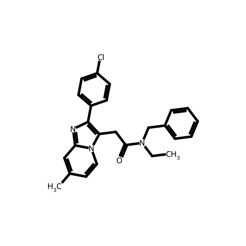 CCN(Cc1ccccc1)C(=O)Cc1c(-c2ccc(Cl)cc2)nc2cc(C)ccn12